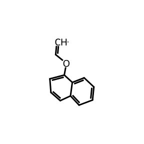 [CH]=COc1cccc2ccccc12